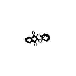 O=c1c2oc3ccccc3oc=2c(=O)c2ccccc12